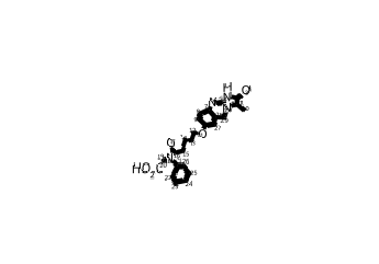 CC1C(=O)NC2=Nc3ccc(OCCCCC(=O)N(CC(=O)O)c4ccccc4)cc3CN21